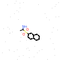 CC([NH])S(=O)(=O)c1ccc2ccccc2c1